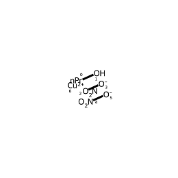 CCCO.O=[N+]([O-])[O-].O=[N+]([O-])[O-].[Cu+2]